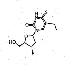 CCc1cn([C@H]2C[C@H](F)[C@@H](CO)O2)c(=O)[nH]c1=S